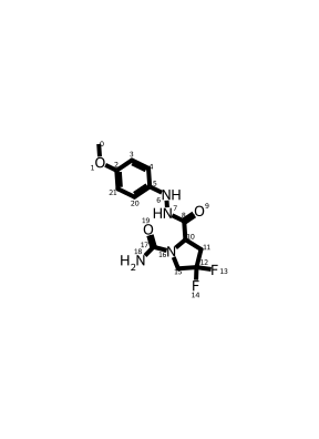 COc1ccc(NNC(=O)C2CC(F)(F)CN2C(N)=O)cc1